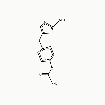 CC(=O)Nc1ncc(Cc2ccc(OC(N)=O)cc2)s1